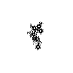 COc1ccc(C(OCC2O[C@@H](n3nnc4c(NC(=O)c5ccccc5)ncnc43)[C@@H](F)[C@@H]2O)(c2ccccc2)c2ccc(OC)cc2)cc1